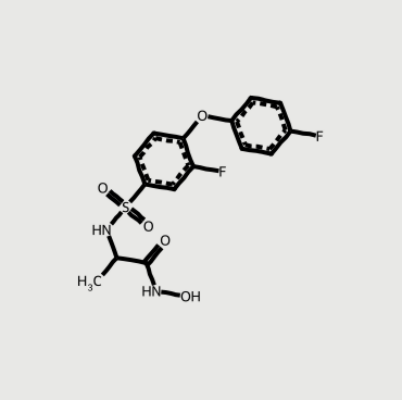 CC(NS(=O)(=O)c1ccc(Oc2ccc(F)cc2)c(F)c1)C(=O)NO